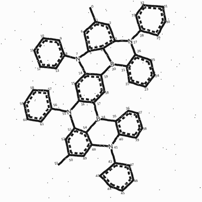 Cc1cc2c3c(c1)N(c1ccccc1)c1cc4c(cc1B3c1ccccc1N2c1ccccc1)B1c2ccccc2N(c2ccccc2)c2cc(C)cc(c21)N4c1ccccc1